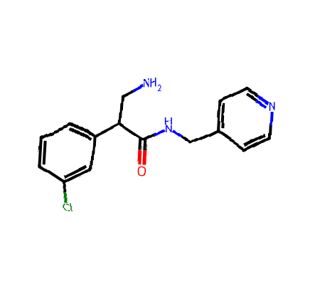 NCC(C(=O)NCc1ccncc1)c1cccc(Cl)c1